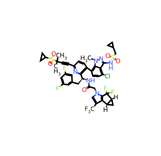 Cn1nc(NS(=O)(=O)CC2CC2)c2c(Cl)ccc(-c3ccc(C#CC(C)(C)S(=O)(=O)C4CC4)nc3[C@H](Cc3cc(F)cc(F)c3)NC(=O)Cn3cc(C(F)(F)F)c4c3C(F)(F)[C@@H]3C[C@H]43)c21